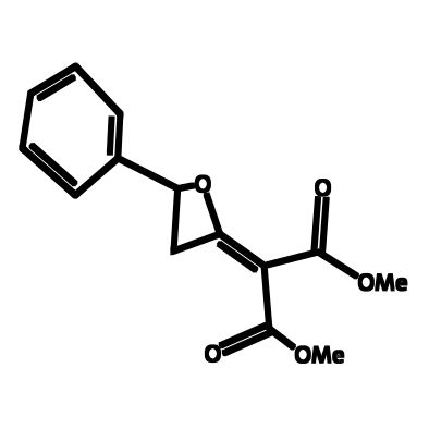 COC(=O)C(C(=O)OC)=C1CC(c2ccccc2)O1